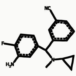 CN(C1CC1)C(c1cccc(C#N)c1)c1ccc(F)c(N)c1